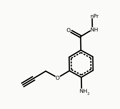 C#CCOc1cc(C(=O)NCCC)ccc1N